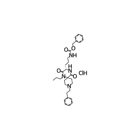 CCCN1C(=O)[C@H](CCCNC(=O)OCc2ccccc2)NC(=O)C12CCN(CCc1ccccc1)CC2.Cl